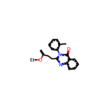 C=C(CCc1nc2ccccc2c(=O)n1-c1ccccc1C)OCC